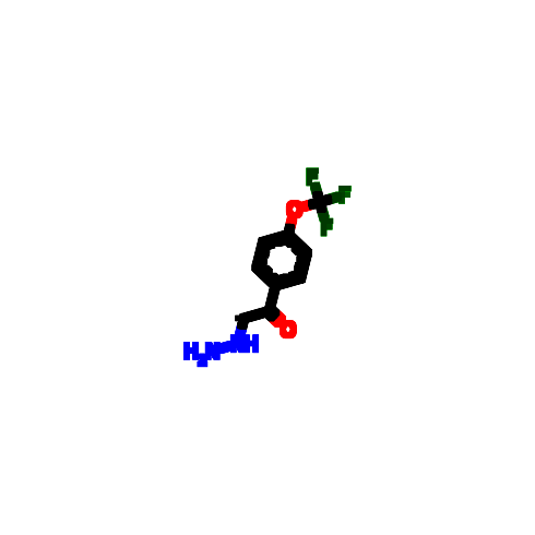 NN[CH]C(=O)c1ccc(OC(F)(F)F)cc1